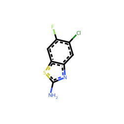 Nc1nc2cc(Cl)c(F)cc2s1